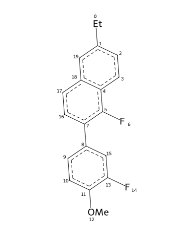 CCc1ccc2c(F)c(-c3ccc(OC)c(F)c3)ccc2c1